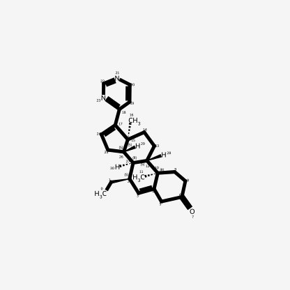 CC[C@@H]1C=C2CC(=O)CC[C@]2(C)[C@H]2CC[C@]3(C)C(c4ccncn4)=CC[C@H]3[C@H]12